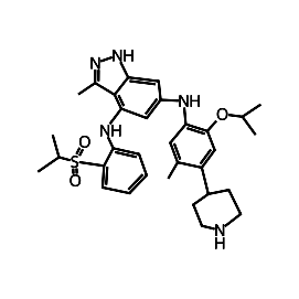 Cc1cc(Nc2cc(Nc3ccccc3S(=O)(=O)C(C)C)c3c(C)n[nH]c3c2)c(OC(C)C)cc1C1CCNCC1